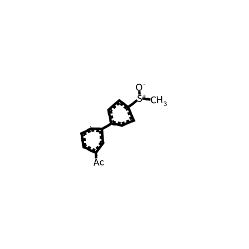 CC(=O)c1cc[c]c(-c2ccc([S+](C)[O-])cc2)c1